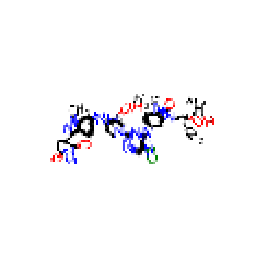 Cn1nc(C2CCC(=O)NC2=O)c2ccc(N[C@H]3CCN(c4ncc(Cl)c(Nc5ccc6c(c5)n(CCC(C)(C)O)c(=O)n6C)n4)C[C@H]3CO)cc21